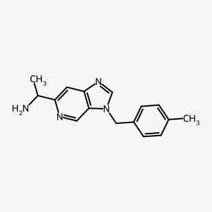 Cc1ccc(Cn2cnc3cc(C(C)N)ncc32)cc1